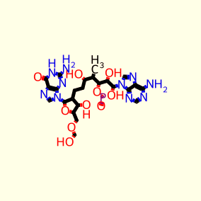 CC(C(O)CCC1C(O)C(COCO)OC1n1cnc2c(=O)[nH]c(N)nc21)C(OP=O)C(O)C(O)n1cnc2c(N)ncnc21